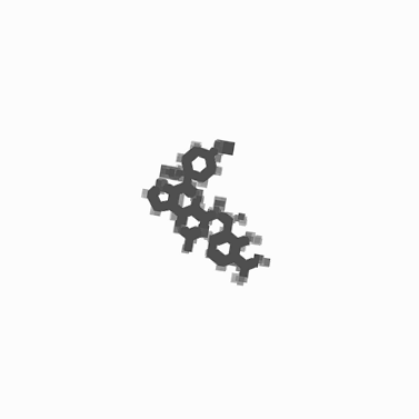 Cc1nc(N[C@H](C)c2cccc(C(F)F)c2F)c2nc([C@]3(O)CC[C@H](O)CC3)c3c(c2n1)CCO3